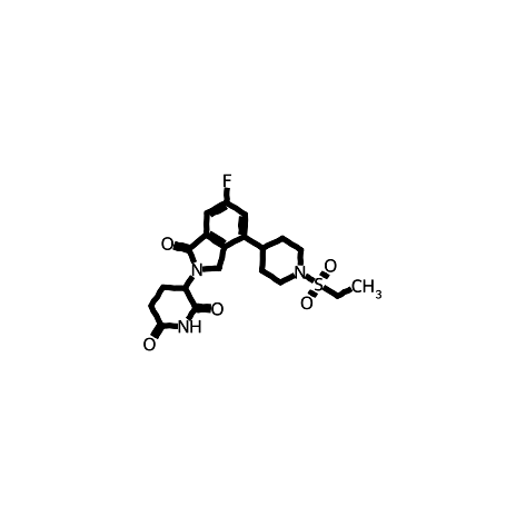 CCS(=O)(=O)N1CCC(c2cc(F)cc3c2CN(C2CCC(=O)NC2=O)C3=O)CC1